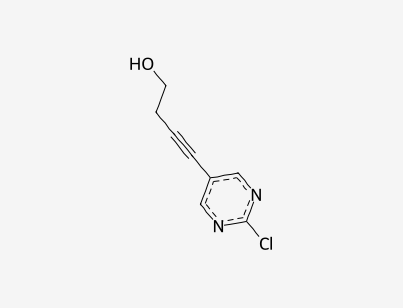 OCCC#Cc1cnc(Cl)nc1